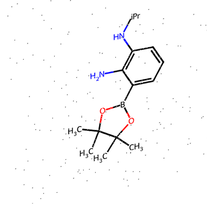 CC(C)Nc1cccc(B2OC(C)(C)C(C)(C)O2)c1N